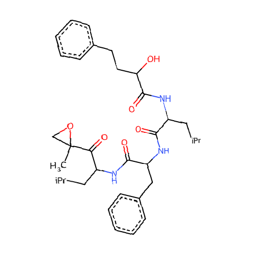 CC(C)CC(NC(=O)C(O)CCc1ccccc1)C(=O)NC(Cc1ccccc1)C(=O)NC(CC(C)C)C(=O)C1(C)CO1